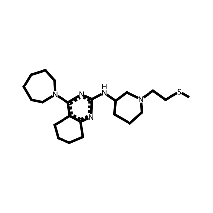 CSCCN1CCCC(Nc2nc3c(c(N4CCCCCC4)n2)CCCC3)C1